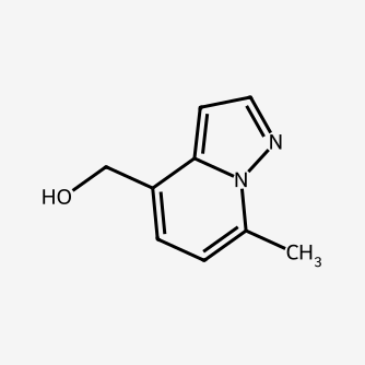 Cc1ccc(CO)c2ccnn12